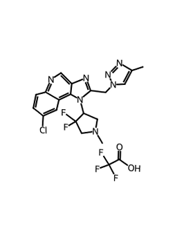 Cc1cn(Cc2nc3cnc4ccc(Cl)cc4c3n2C2CN(C)CC2(F)F)nn1.O=C(O)C(F)(F)F